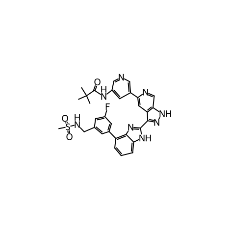 CC(C)(C)C(=O)Nc1cncc(-c2cc3c(-c4nc5c(-c6cc(F)cc(CNS(C)(=O)=O)c6)cccc5[nH]4)n[nH]c3cn2)c1